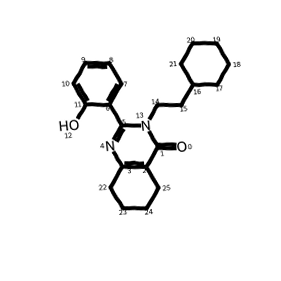 O=c1c2c(nc(-c3ccccc3O)n1CCC1CCCCC1)CCCC2